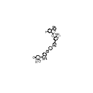 C[C@@H](Oc1cc(-c2cnn(C3CCN(C4CN(c5ccc6c(N7CCC(=O)NC7=O)nn(C)c6c5)C4)CC3)c2)cnc1N)c1cc(F)ccc1-n1nccn1